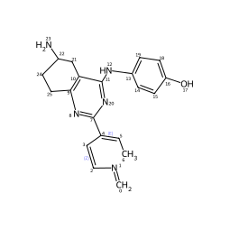 C=N/C=C\C(=C/C)c1nc2c(c(Nc3ccc(O)cc3)n1)CC(N)CC2